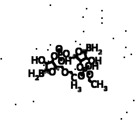 B[C@@H]1O[C@H](COCC)C(OP(=O)(O)OC[C@H]2O[C@@H](B)C(O)C2OP(=O)(O)OCC)C1O